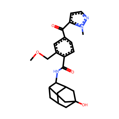 COCc1cc(C(=O)c2ccnn2C)ccc1C(=O)NC1C2CC3CC1CC(O)(C3)C2